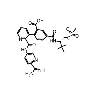 CC(C)(C)[C@@H](COS(C)(=O)=O)NC(=O)c1ccc(-c2cccnc2C(=O)Nc2ccc(C(=N)N)nc2)c(C(=O)O)c1